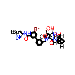 COc1c(CN2O[C@@H](CO)[C@@H]([C@H](C)O)[C@H]2C(=O)N[C@H]2C[C@H]3C[C@@H]([C@@H]2C)C3(C)C)cccc1-c1cc(Br)cc(C(=O)N[C@H](CN(C)C)CC(C)(C)C)c1